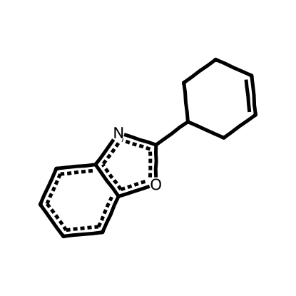 C1=CCC(c2nc3ccccc3o2)CC1